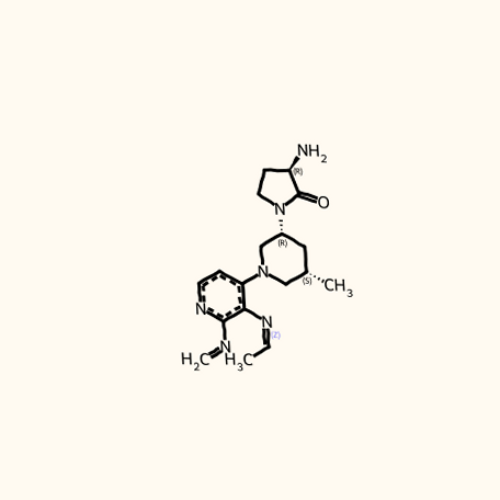 C=Nc1nccc(N2C[C@@H](C)C[C@@H](N3CC[C@@H](N)C3=O)C2)c1/N=C\C